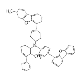 CC1C=Cc2c(oc3c(C4=CCC(N(c5ccc(-c6cccc7c6oc6ccccc67)cc5)C5CCC=C(c6ccccc6)C5C)C=C4)cccc23)C1